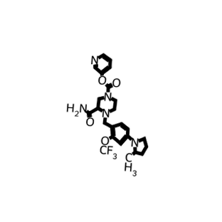 CC1CCCN1c1ccc(CN2CCN(C(=O)Oc3cccnc3)CC2C(N)=O)c(OC(F)(F)F)c1